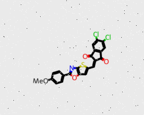 COc1ccc(-c2nc3sc(C=C4C(=O)c5cc(Cl)c(Cl)cc5C4=O)cc3o2)cc1